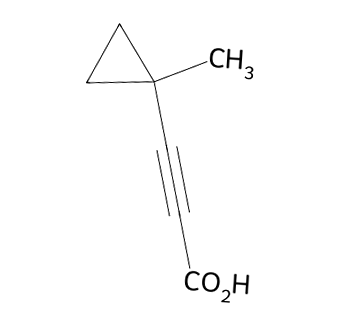 CC1(C#CC(=O)O)CC1